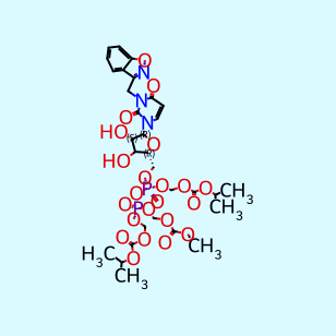 COC(=O)OCOP(=O)(OCOC(=O)OC(C)C)OP(=O)(OCOC(=O)OC(C)C)OC[C@H]1O[C@@H](n2ccc(=O)n(Cc3noc4ccccc34)c2=O)[C@@H](O)C1O